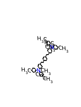 Cc1ccc(N(c2ccc(C=Cc3ccc(C=Cc4ccc(N(c5ccc(C)cc5C)c5ccc(C)cc5C)cc4)cc3)cc2)c2ccc(C)cc2C)c(C)c1